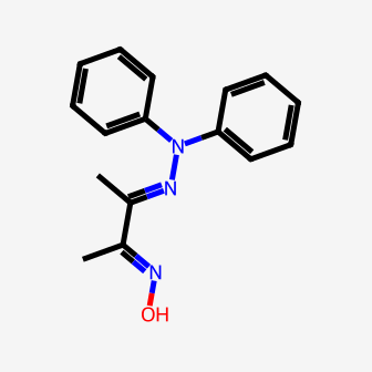 CC(=NO)C(C)=NN(c1ccccc1)c1ccccc1